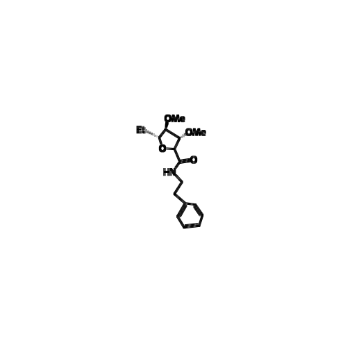 CC[C@H]1OC(C(=O)NCCc2ccccc2)[C@@H](OC)[C@@H]1OC